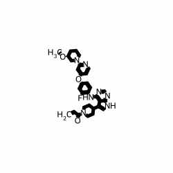 C=CC(=O)N1CCC(c2c[nH]c3ncnc(Nc4ccc(Oc5ccnc(N6CCC[C@@H](OC)C6)c5)cc4F)c23)CC1